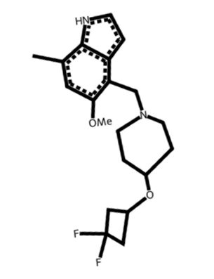 COc1cc(C)c2[nH]ccc2c1CN1CCC(OC2CC(F)(F)C2)CC1